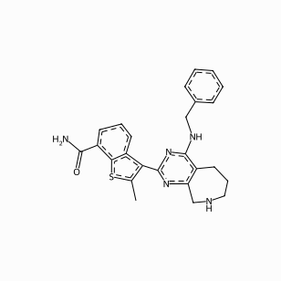 Cc1sc2c(C(N)=O)cccc2c1-c1nc2c(c(NCc3ccccc3)n1)CCCNC2